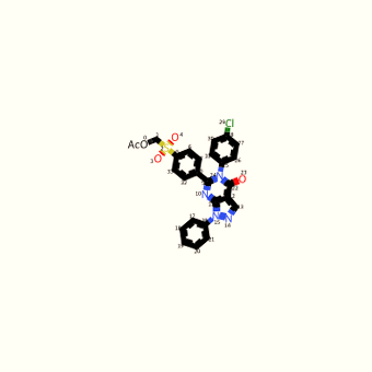 CC(=O)OCS(=O)(=O)c1ccc(-c2nc3c(cnn3-c3ccccc3)c(=O)n2-c2ccc(Cl)cc2)cc1